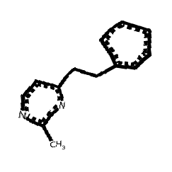 Cc1nccc(CCc2ccccc2)n1